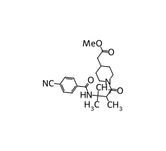 COC(=O)CC1CCN(C(=O)C(C)C(C)(C)NC(=O)c2ccc(C#N)cc2)CC1